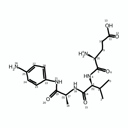 CC(C)[C@H](NC(=O)[C@@H](N)CCC(=O)O)C(=O)N[C@@H](C)C(=O)Nc1ccc(N)cc1